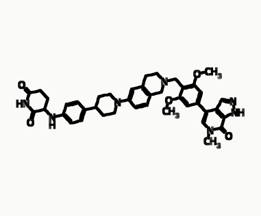 COc1cc(-c2cn(C)c(=O)c3[nH]ncc23)cc(OC)c1CN1CCc2cc(N3CCC(c4ccc(NC5CCC(=O)NC5=O)cc4)CC3)ccc2C1